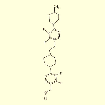 CCOCc1ccc(C2CCC(CCc3ccc(C4CCC(C)CC4)c(F)c3F)CC2)c(F)c1F